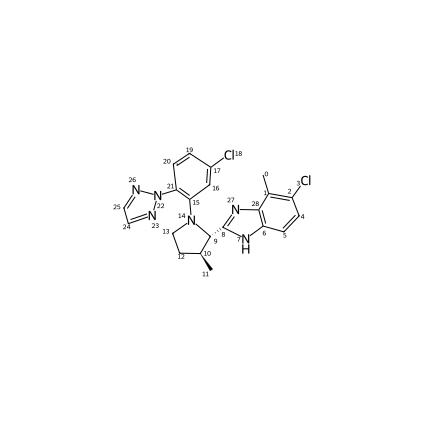 Cc1c(Cl)ccc2[nH]c([C@@H]3[C@@H](C)CCN3c3cc(Cl)c[c]c3-n3nccn3)nc12